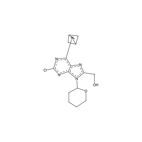 OCc1nc2c(N3CC4CC3C4)nc(Cl)nc2n1C1CCCCO1